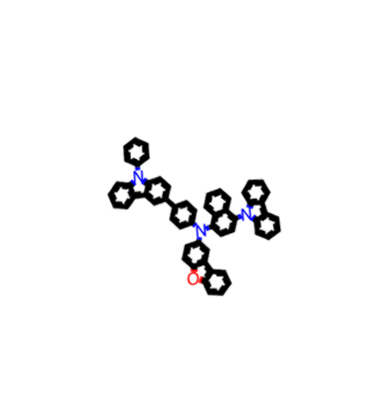 c1ccc(-n2c3ccccc3c3cc(-c4ccc(N(c5ccc6oc7ccccc7c6c5)c5ccc(-n6c7ccccc7c7ccccc76)c6ccccc56)cc4)ccc32)cc1